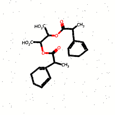 CC(C(=O)OC(C(=O)O)C(OC(=O)C(C)C1=CCCC=C1)C(=O)O)C1=CCCC=C1